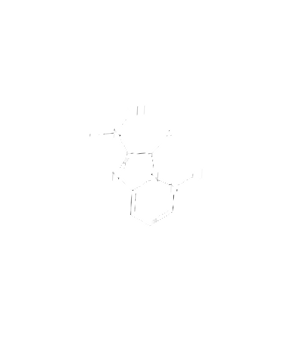 CC(=O)C1C(N(C)C)=NC2=CC=CN(Cl)N21